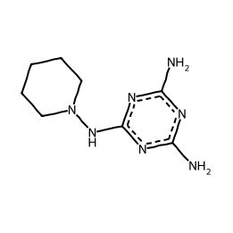 Nc1nc(N)nc(NN2CCCCC2)n1